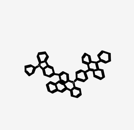 c1ccc(-c2c3ccccc3c(-c3ccc(N(c4ccc(-c5ccc6c(c5)c5ccccc5n6-c5ccccc5)cc4)c4ccccc4-c4ccc5ccccc5c4)cc3)c3ccccc23)cc1